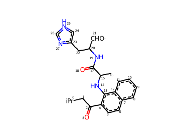 CC(C)CC(=O)c1ccc2ccccc2c1NC(C)C(=O)NC([C]=O)Cc1c[nH]cn1